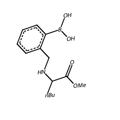 CCCCC(NCc1ccccc1B(O)O)C(=O)OC